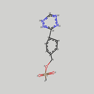 CS(=O)(=O)OCc1ccc(-c2nncnn2)cc1